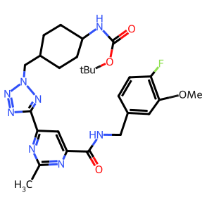 COc1cc(CNC(=O)c2cc(-c3nnn(CC4CCC(NC(=O)OC(C)(C)C)CC4)n3)nc(C)n2)ccc1F